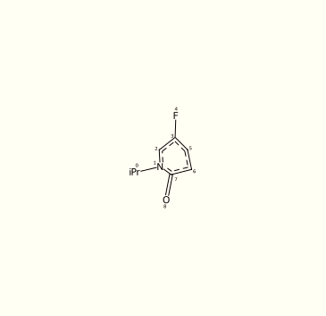 CC(C)n1cc(F)ccc1=O